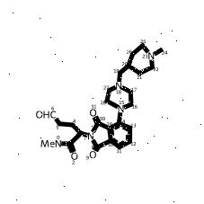 CNC(=O)C(CCC=O)N1C(=O)c2cccc(N3CCN(CC4CCN(C)CC4)CC3)c2C1=O